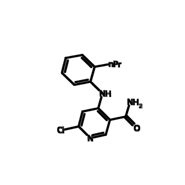 CCCc1ccccc1Nc1cc(Cl)ncc1C(N)=O